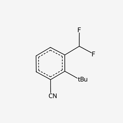 CC(C)(C)c1c(C#N)cccc1C(F)F